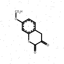 O=C(O)Oc1ccc2c(c1)SC(=O)C(=O)C2